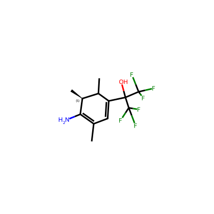 CC1=C(N)[C@@H](C)C(C)C(C(O)(C(F)(F)F)C(F)(F)F)=C1